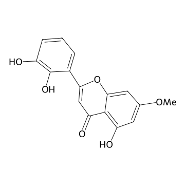 COc1cc(O)c2c(=O)cc(-c3cccc(O)c3O)oc2c1